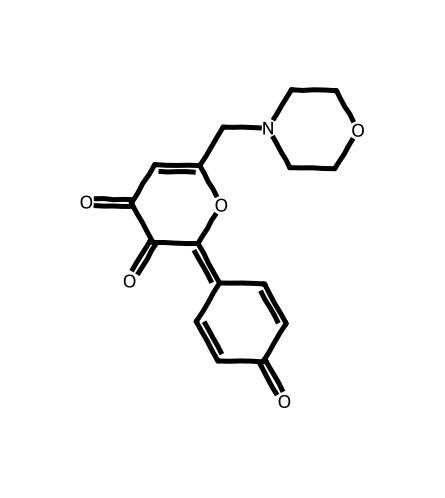 O=C1C=CC(=C2OC(CN3CCOCC3)=CC(=O)C2=O)C=C1